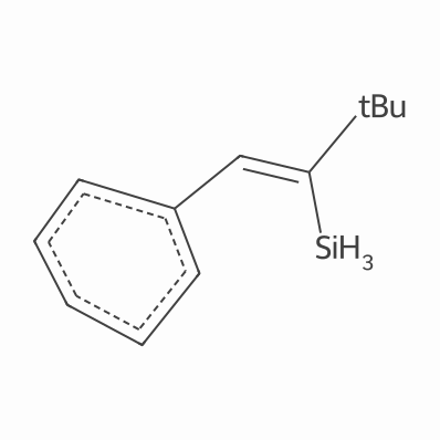 CC(C)(C)C([SiH3])=Cc1ccccc1